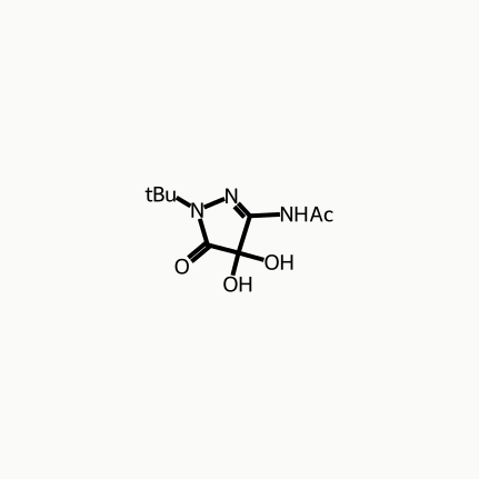 CC(=O)NC1=NN(C(C)(C)C)C(=O)C1(O)O